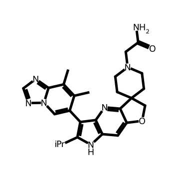 Cc1c(-c2c(C(C)C)[nH]c3cc4c(nc23)C2(CCN(CC(N)=O)CC2)CO4)cn2ncnc2c1C